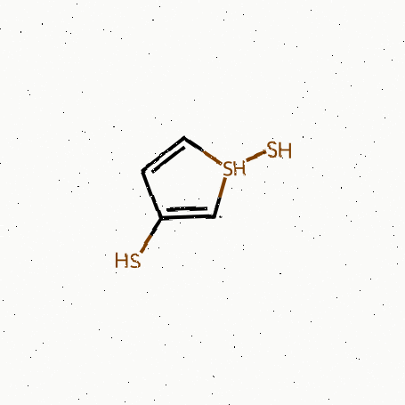 SC1=[C][SH](S)C=C1